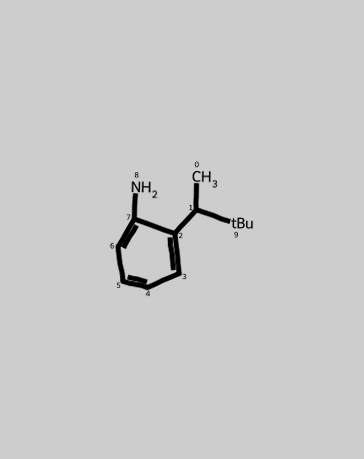 CC(c1ccccc1N)C(C)(C)C